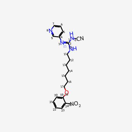 N#CN/C(=N\c1cccnc1)NCCCCCCCOc1ccccc1[N+](=O)[O-]